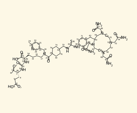 CC(=O)[C@@H](CCC(=O)O)NC(=O)N[C@H](CCCCN(Cc1ccc(C)nc1)C(=O)C1CCC(CNC(=S)Nc2ccc(CC3CN(CC(N)=O)CCN(CC(N)=O)CCN(CC(N)=O)CCN3CC(N)=O)cc2)CC1)C(=O)O